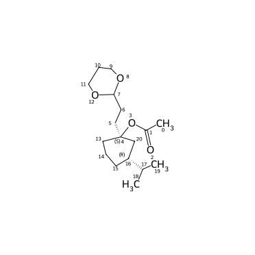 CC(=O)O[C@]1(CCC2OCCCO2)CCC[C@@H](C(C)C)C1